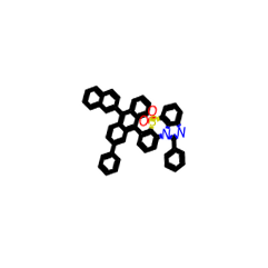 O=S1(=O)c2c(-c3c4ccccc4c(-c4ccc5ccccc5c4)c4ccc(-c5ccccc5)cc34)cccc2-n2c(-c3ccccc3)nc3cccc1c32